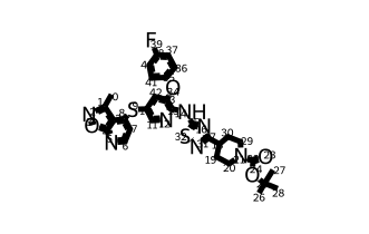 Cc1noc2nccc(Sc3cnc(Nc4nc(C5CCN(C(=O)OC(C)(C)C)CC5)ns4)c(Oc4ccc(F)cc4)c3)c12